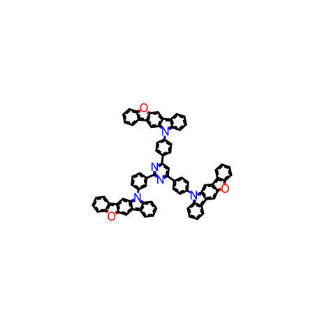 c1cc(-c2nc(-c3ccc(-n4c5ccccc5c5cc6oc7ccccc7c6cc54)cc3)cc(-c3ccc(-n4c5ccccc5c5cc6oc7ccccc7c6cc54)cc3)n2)cc(-n2c3ccccc3c3cc4oc5ccccc5c4cc32)c1